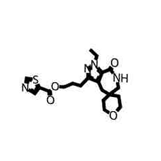 CCn1nc(CCCOC(=O)c2cncs2)c2c1C(=O)NCC1(CCOCC1)C2